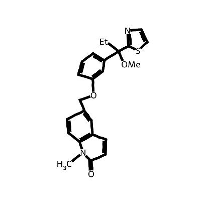 CCC(OC)(c1cccc(OCc2ccc3c(ccc(=O)n3C)c2)c1)c1nccs1